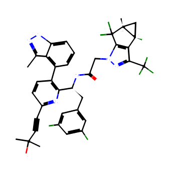 Cc1n[nH]c2cccc(-c3ccc(C#CC(C)(C)O)nc3[C@H](Cc3cc(F)cc(F)c3)NC(=O)Cn3nc(C(F)(F)F)c4c3C(F)(F)[C@@H]3C[C@]43F)c12